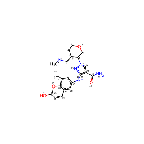 C=NC[C@H]1CCOCC1n1cc(C(N)=O)c(Nc2cc3c(c(C(F)(F)F)c2)OB(O)C=C3)n1